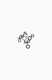 COc1cccc([C@@]23CCN(C)C[C@H]2C(OC(C)=O)C[C@H](N(C)C(=O)c2ccccc2)C3)c1